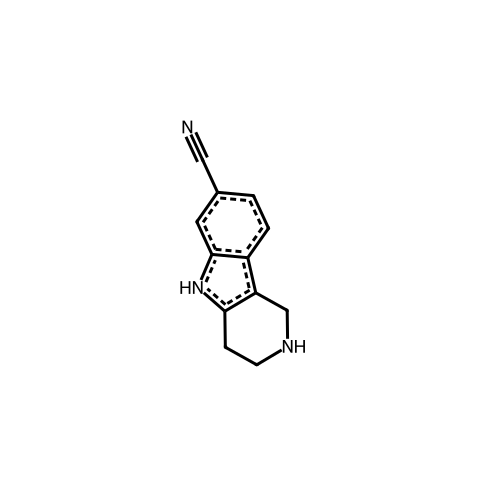 N#Cc1ccc2c3c([nH]c2c1)CCNC3